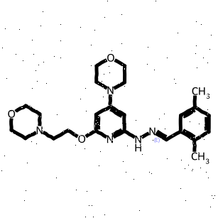 Cc1ccc(C)c(/C=N/Nc2cc(N3CCOCC3)cc(OCCN3CCOCC3)n2)c1